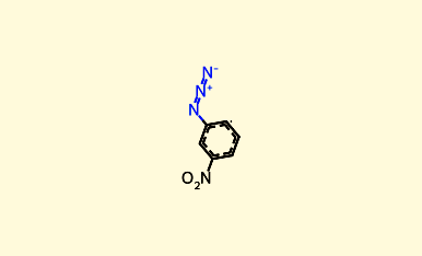 [N-]=[N+]=Nc1[c]ccc([N+](=O)[O-])c1